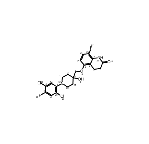 O=C1CCc2c(OCC3(O)CCN(c4cc(Cl)c(F)cc4Cl)CC3)ccc(F)c2N1